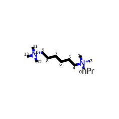 CCC[N+](C)(C)CCCCCC[N+](C)(C)C